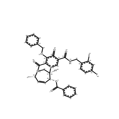 C[C@H]1C=C[C@@H](OC(=O)c2ccccc2)[C@H]2CN1C(=O)c1c(OCc3ccccc3)c(=O)c(C(=O)NCc3ccc(F)cc3F)cn12